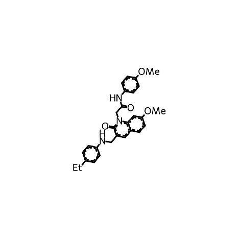 CCc1ccc(NCc2cc3ccc(OC)cc3n(CC(=O)Nc3ccc(OC)cc3)c2=O)cc1